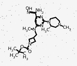 C[C@H]1CN(C)CCCN1c1nc(/C(N)=N/O)cc(N(C)CC2CN(C(=O)OC(C)(C)C)C2)n1